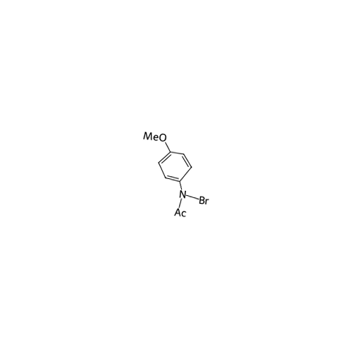 COc1ccc(N(Br)C(C)=O)cc1